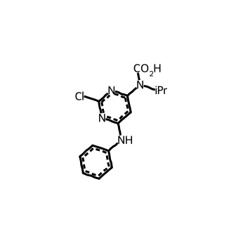 CC(C)N(C(=O)O)c1cc(Nc2ccccc2)nc(Cl)n1